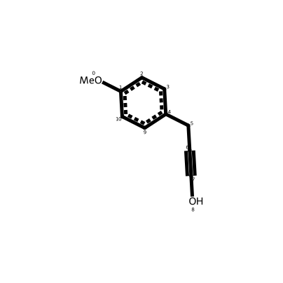 COc1ccc(CC#CO)cc1